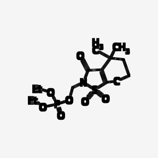 CCOP(=O)(OCC)OCN1C(=O)C2=C(CCCC2(C)C)S1(=O)=O